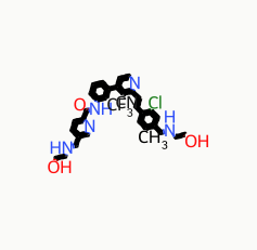 Cc1cc(/C=C/c2nccc(-c3cccc(NC(=O)c4ccc(CNCCO)cn4)c3C(F)(F)F)c2C#N)c(Cl)cc1CNCCO